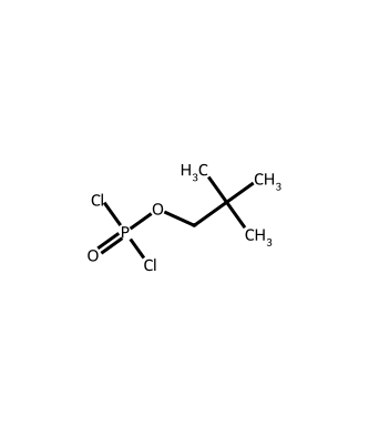 CC(C)(C)COP(=O)(Cl)Cl